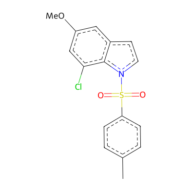 COc1cc(Cl)c2c(ccn2S(=O)(=O)c2ccc(C)cc2)c1